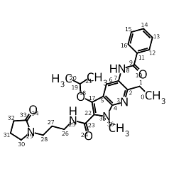 CCc1nc2c(cc1NC(=O)c1ccccc1)c(OC(C)C)c(C(=O)NCCCN1CCCC1=O)n2C